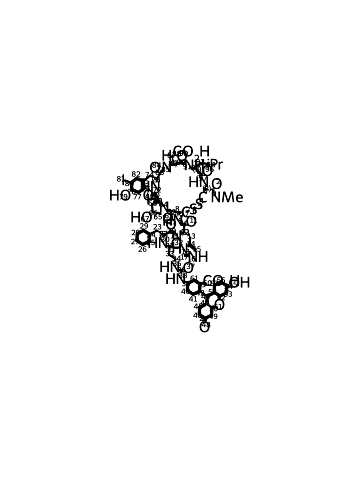 CNC(=O)[C@@H]1CSSC[C@H](NC(=O)[C@H](Cc2c[nH]cn2)NC(=O)[C@H](Cc2ccccc2)NC(=O)CCNC(=O)Nc2ccc(-c3c4ccc(=O)cc-4oc4cc(O)ccc34)c(C(=O)O)c2)C(=O)N2CC(O)C[C@H]2C(=O)N[C@@H](Cc2ccc(O)c(I)c2)C(=O)N[C@@H](CC(=O)O)C(=O)N[C@@H](CC(C)C)C(=O)N1